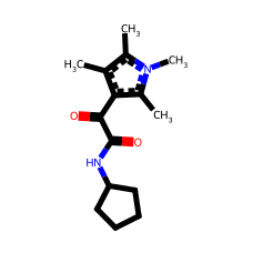 Cc1c(C(=O)C(=O)NC2CCCC2)c(C)n(C)c1C